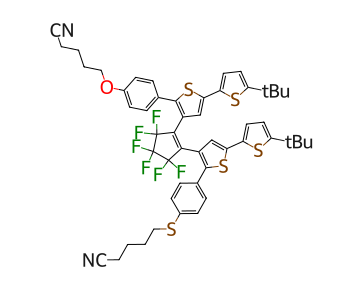 CC(C)(C)c1ccc(-c2cc(C3=C(c4cc(-c5ccc(C(C)(C)C)s5)sc4-c4ccc(SCCCCC#N)cc4)C(F)(F)C(F)(F)C3(F)F)c(-c3ccc(OCCCCC#N)cc3)s2)s1